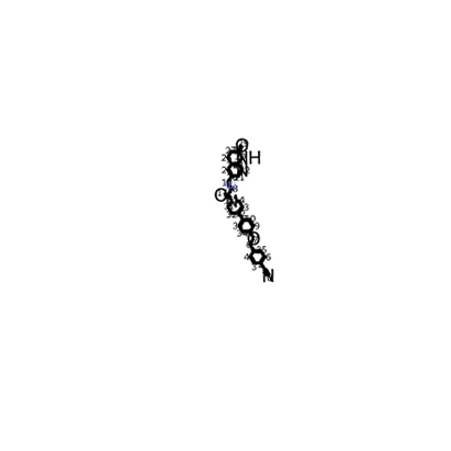 N#Cc1ccc(COc2ccc(C3=CCN(C(=O)/C=C/c4cnc5c(c4)CCC(=O)N5)CC3)cc2)cc1